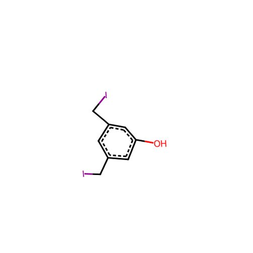 Oc1cc(CI)cc(CI)c1